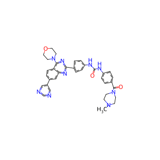 CN1CCN(C(=O)c2ccc(NC(=O)Nc3ccc(-c4nc(N5CCOCC5)c5ccc(-c6cncnc6)cc5n4)cc3)cc2)CC1